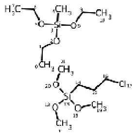 CCO[Si](C)(OCC)OCC.CO[Si](CCCCl)(OC)OC